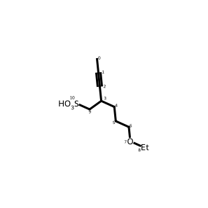 CC#CC(CCCOCC)CS(=O)(=O)O